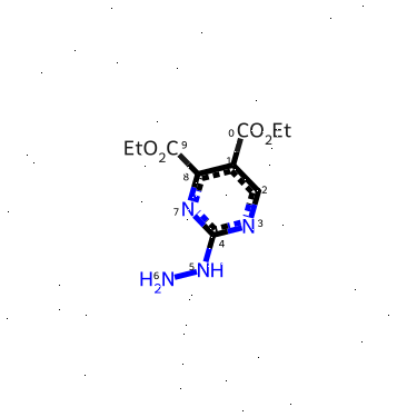 CCOC(=O)c1cnc(NN)nc1C(=O)OCC